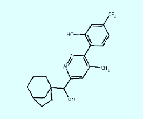 Cc1cc(C(O)C23CCCC(CC2)C3)nnc1-c1ccc(C(F)(F)F)cc1O